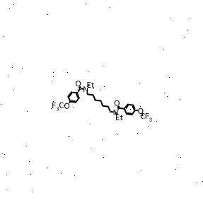 CCN(CCCCCCCN(CC)C(=O)c1ccc(OC(F)(F)F)cc1)C(=O)c1ccc(OC(F)(F)F)cc1